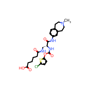 CN1CCc2ccc(NC(=O)[C@@H](CNC(=O)CCCCC(=O)O)NC(=O)Oc3ccc(Cl)s3)cc2CC1